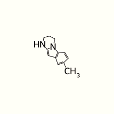 Cc1ccc2c(c1)cc1n2CCCN1